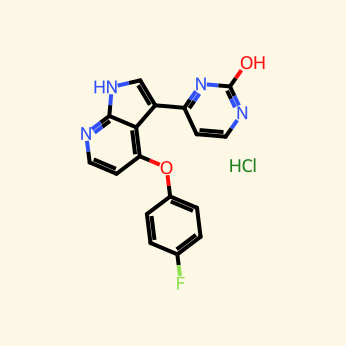 Cl.Oc1nccc(-c2c[nH]c3nccc(Oc4ccc(F)cc4)c23)n1